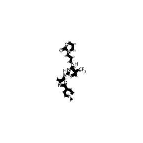 Cc1nc(C2CCN(C)CC2)oc1Nc1ncc(C(F)(F)F)c(NCCCN2CCCOC2=O)n1